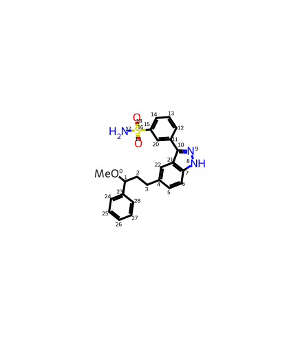 COC(CCc1ccc2[nH]nc(-c3cccc(S(N)(=O)=O)c3)c2c1)c1ccccc1